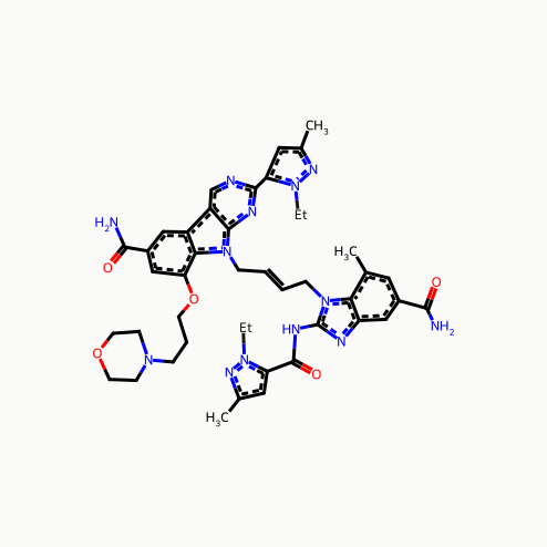 CCn1nc(C)cc1C(=O)Nc1nc2cc(C(N)=O)cc(C)c2n1CC=CCn1c2nc(-c3cc(C)nn3CC)ncc2c2cc(C(N)=O)cc(OCCCN3CCOCC3)c21